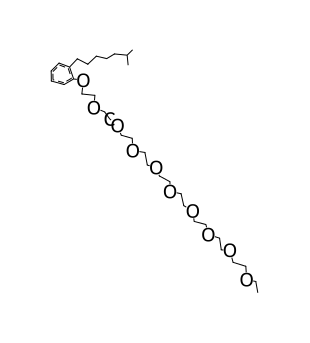 CCOCCOCCOCCOCCOCCOCCOCCOCCOCCOc1ccccc1CCCCCC(C)C